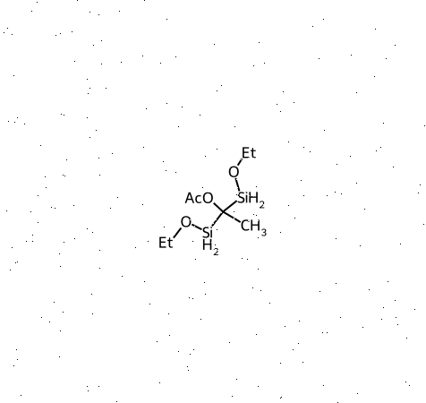 CCO[SiH2]C(C)(OC(C)=O)[SiH2]OCC